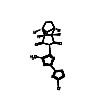 Cc1sc(-c2ccc(Cl)s2)nc1C1C(=O)[C@@H]2[C@H](C1=O)[C@H]1CC[C@@H]2O1